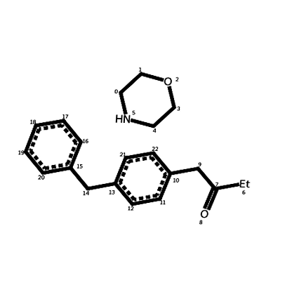 C1COCCN1.CCC(=O)Cc1ccc(Cc2ccccc2)cc1